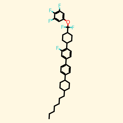 CCCCCCCC1CCC(c2ccc(-c3ccc(C4CCC(C(F)(F)Oc5cc(F)c(F)c(F)c5)CC4)c(F)c3)cc2)CC1